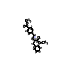 COC(=O)c1ccc(/C=N/[C@H](Cc2ccccc2)C(=O)OC)cc1